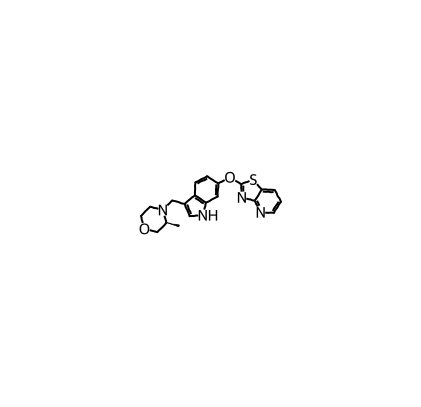 C[C@H]1COCCN1Cc1c[nH]c2cc(Oc3nc4ncccc4s3)ccc12